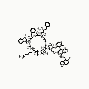 Cc1nccc(C[C@@H](O)[C@@H](CO)NC(=O)[C@@H]2CSSC[C@H](NC(=O)[C@H](N)Cc3ccccc3)C(=O)N[C@@H](Cc3ccccc3)C(=O)N[C@H](Cc3c[nH]c4ccccc34)C(=O)N[C@@H](CCCCN)C(=O)N[C@@H]([C@@H](C)O)C(=O)N2)c1-c1cnc(NCc2c(F)ccc3c2CCO3)n2cnnc12